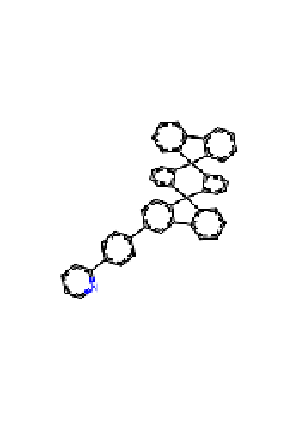 c1ccc(-c2ccc(-c3ccc4c(c3)-c3ccccc3C43c4ccccc4C4(c5ccccc5-c5ccccc54)c4ccccc43)cc2)nc1